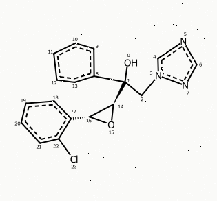 OC(Cn1cncn1)(c1ccccc1)[C@H]1O[C@@H]1c1ccccc1Cl